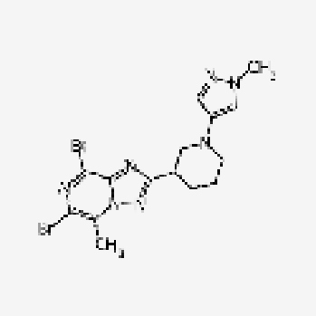 Cc1c(Br)nc(Br)c2nc(C3CCCN(c4cnn(C)c4)C3)nn12